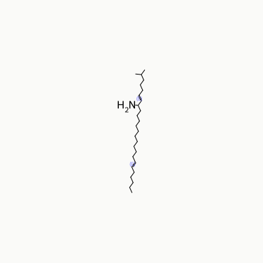 CCCCC/C=C/CCCCCCCCCCC(N)/C=C/CCCC(C)C